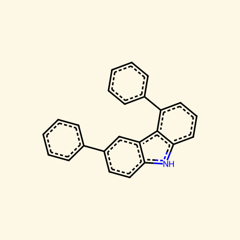 c1ccc(-c2ccc3[nH]c4cccc(-c5ccccc5)c4c3c2)cc1